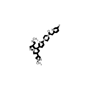 CN=Cc1cnn2cc(-c3cnn(C)c3)cc(-c3ccc(N4CCN(C(=O)Cc5ccc(F)cn5)CC4)nc3)c12